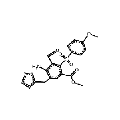 COC(=O)c1cc(Cc2ccsc2)c(N)c(C=O)c1S(=O)(=O)c1ccc(OC)cc1